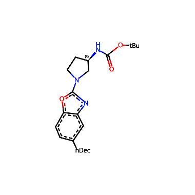 CCCCCCCCCCc1ccc2oc(N3CC[C@@H](NC(=O)OC(C)(C)C)C3)nc2c1